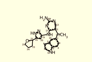 CC(c1ccc2[nH]ccc2c1)c1cnc(N)nc1Nc1cc(C2CCCO2)[nH]n1